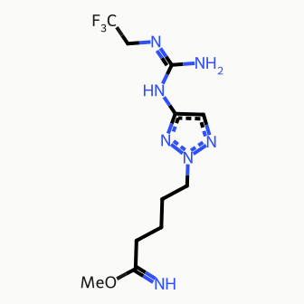 COC(=N)CCCCn1ncc(N/C(N)=N\CC(F)(F)F)n1